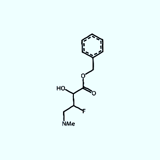 CNCC(F)C(O)C(=O)OCc1ccccc1